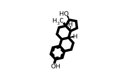 CC12CCC3c4ccc(O)cc4CC[C@H]3[C@@H]1CC[C@@H]2O